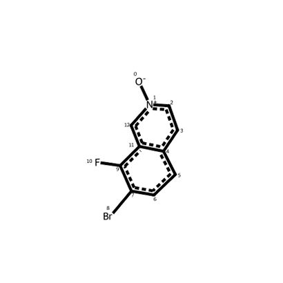 [O-][n+]1ccc2ccc(Br)c(F)c2c1